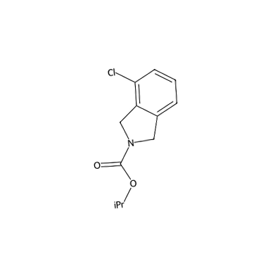 CC(C)OC(=O)N1Cc2cccc(Cl)c2C1